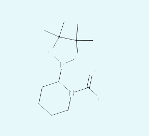 CC1(C)OB(C2CCCCN2C(=O)O)OC1(C)C